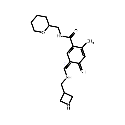 CC1=CC(=N)/C(=C\NCC2CNC2)C=C1C(=O)NCC1CCCCO1